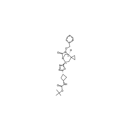 CC(C)(C)OC(=O)N[C@H]1C[C@H](c2nnc([C@@H]3CC4(CC4)[C@H]4CN3C(=O)N4OCc3ccccc3)o2)C1